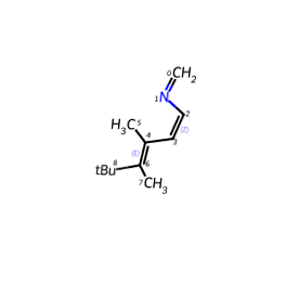 C=N/C=C\C(C)=C(/C)C(C)(C)C